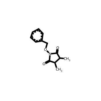 CC1C(=O)N(OCc2ccccc2)C(=O)C1C